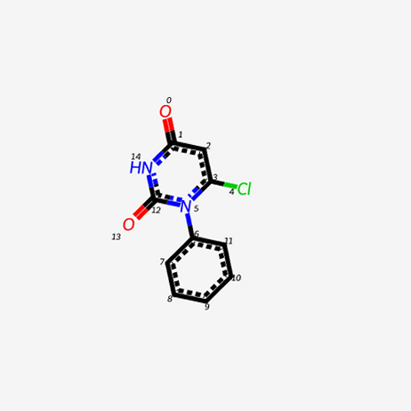 O=c1cc(Cl)n(-c2ccccc2)c(=O)[nH]1